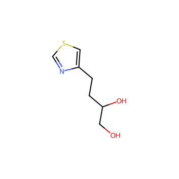 OCC(O)CCc1cscn1